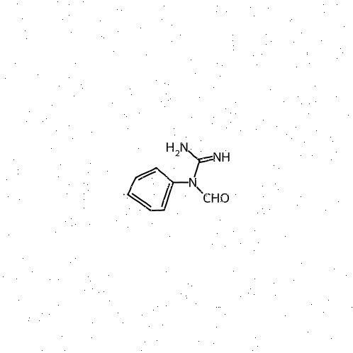 N=C(N)N(C=O)c1cc[c]cc1